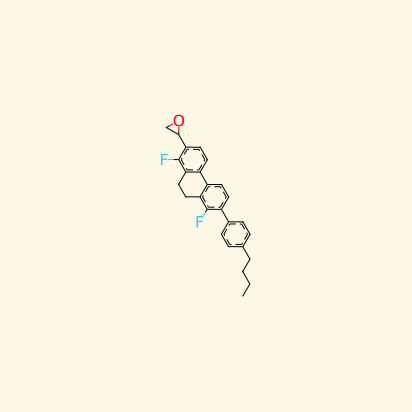 CCCCc1ccc(-c2ccc3c(c2F)CCc2c-3ccc(C3CO3)c2F)cc1